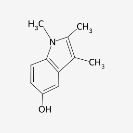 Cc1c(C)n(C)c2ccc(O)cc12